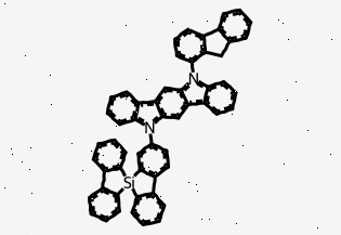 c1ccc2c(c1)Cc1c-2cccc1-n1c2ccccc2c2cc3c(cc21)c1ccccc1n3-c1ccc2c(c1)[Si]1(c3ccccc3-c3ccccc31)c1ccccc1-2